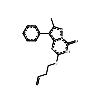 C=CCCSc1nc2c(-c3ccccc3)c(C)nn2c(=O)[nH]1